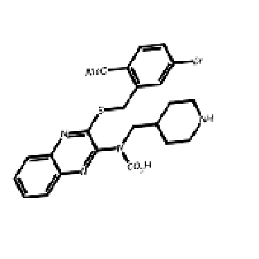 COc1ccc(Br)cc1CSc1nc2ccccc2nc1N(CC1CCNCC1)C(=O)O